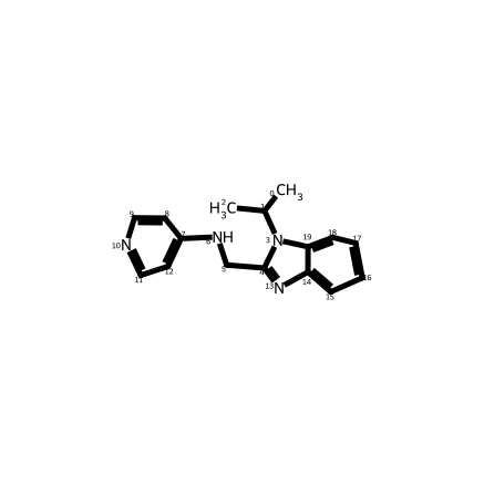 CC(C)n1c(CNc2ccncc2)nc2ccccc21